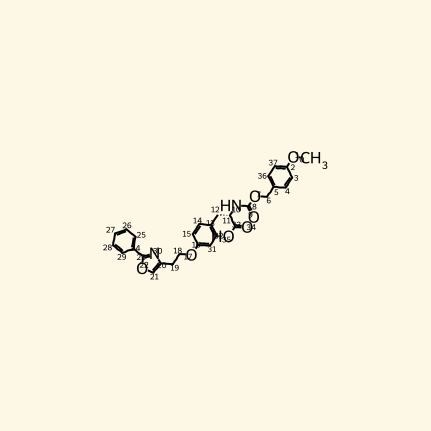 COc1ccc(COC(=O)N[C@@H](Cc2ccc(OCCc3coc(-c4ccccc4)n3)cc2)C(=O)O)cc1